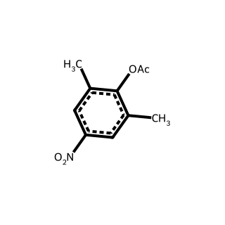 CC(=O)Oc1c(C)cc([N+](=O)[O-])cc1C